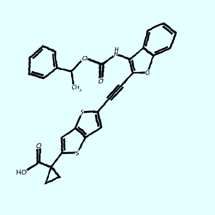 CC(OC(=O)Nc1c(C#Cc2cc3sc(C4(C(=O)O)CC4)cc3s2)oc2ccccc12)c1ccccc1